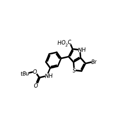 CC(C)(C)OC(=O)Nc1cccc(-c2c(C(=O)O)[nH]c3c(Br)csc23)c1